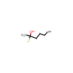 CCCCCCC(C)(O)F